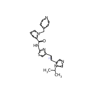 CC(C)n1cncc1/C=C/c1csc(NC(=O)c2cccn2Cc2ccncc2)n1